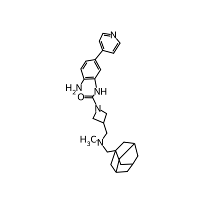 CN(CC1CN(C(=O)Nc2cc(-c3ccncc3)ccc2N)C1)CC12CC3CC(CC(C3)C1)C2